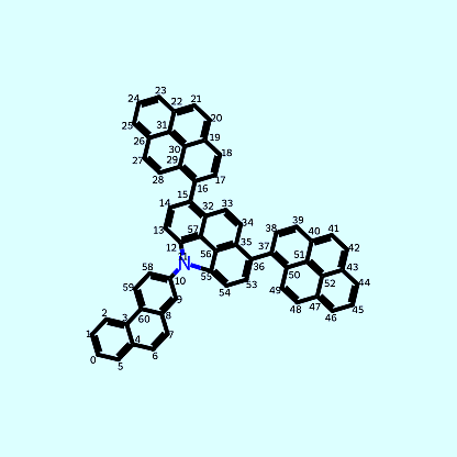 c1ccc2c(c1)ccc1cc(-n3c4ccc(-c5ccc6ccc7cccc8ccc5c6c78)c5ccc6c(-c7ccc8ccc9cccc%10ccc7c8c9%10)ccc3c6c54)ccc12